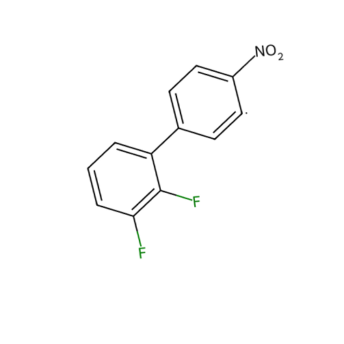 O=[N+]([O-])c1[c]cc(-c2cccc(F)c2F)cc1